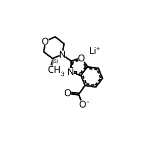 C[C@H]1COCCN1c1nc2c(C(=O)[O-])cccc2o1.[Li+]